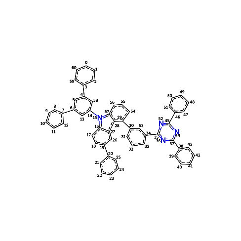 c1ccc(-c2cc(-c3ccccc3)cc(-n3c4ccc(-c5ccccc5)cc4c4c(-c5cccc(-c6nc(-c7ccccc7)nc(-c7ccccc7)n6)c5)cccc43)c2)cc1